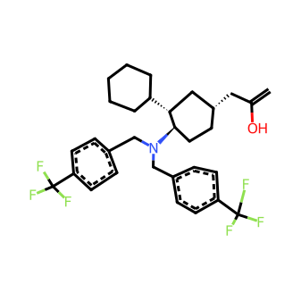 C=C(O)C[C@@H]1CC[C@@H](N(Cc2ccc(C(F)(F)F)cc2)Cc2ccc(C(F)(F)F)cc2)[C@H](C2CCCCC2)C1